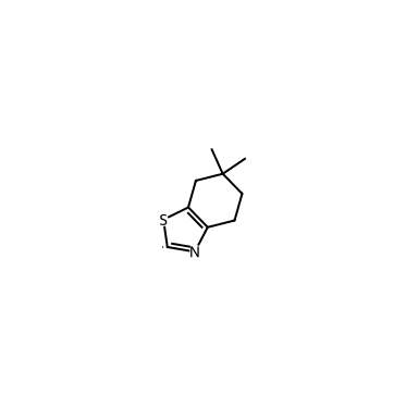 CC1(C)CCc2n[c]sc2C1